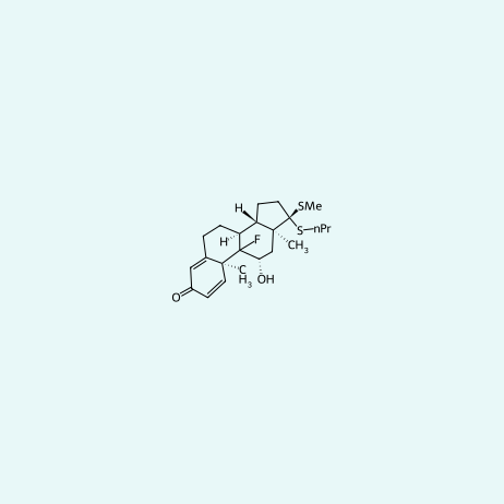 CCCS[C@@]1(SC)CC[C@H]2[C@@H]3CCC4=CC(=O)C=C[C@]4(C)C3(F)[C@@H](O)C[C@@]21C